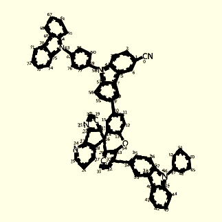 N#Cc1ccc2c(c1)c1cc(-c3ccc4c(c3)C3(c5cccnc5-c5ncccc53)c3cccc(-c5ccc6c(c5)c5ccccc5n6-c5ccccc5)c3O4)ccc1n2-c1ccc(-n2c3ccccc3c3ccccc32)cc1